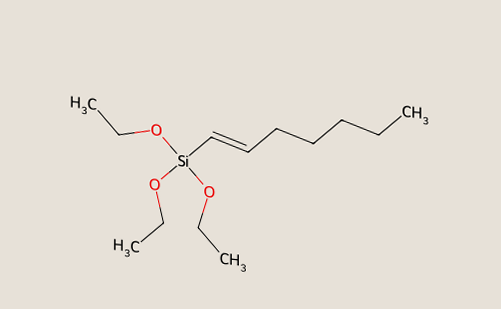 CCCCC/C=C/[Si](OCC)(OCC)OCC